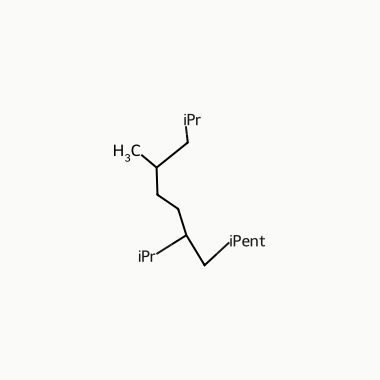 CCCC(C)CC(CCC(C)CC(C)C)C(C)C